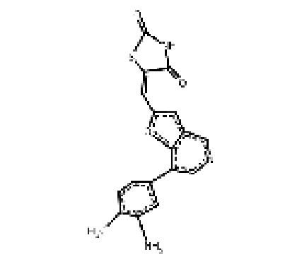 Cc1ccc(-c2cncc3cc(C=C4SC(=O)NC4=O)oc23)cc1N